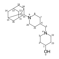 OC1CCN(CC2CCN(C3C4CC5CC(C4)CC3C5)CC2)CC1